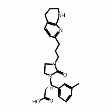 Cc1cccc([C@H](CC(=O)O)N2CCN(CCCc3ccc4c(n3)NCCC4)C2=O)c1